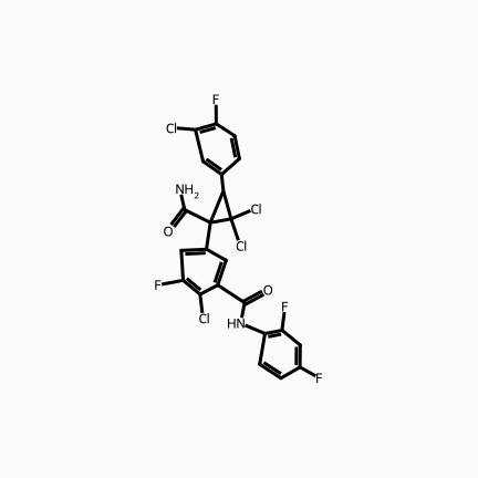 NC(=O)C1(c2cc(F)c(Cl)c(C(=O)Nc3ccc(F)cc3F)c2)C(c2ccc(F)c(Cl)c2)C1(Cl)Cl